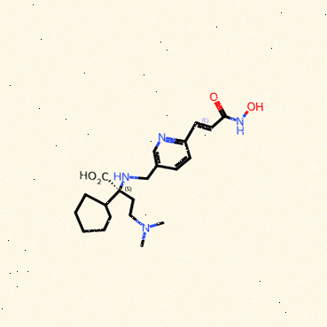 CN(C)CC[C@@](NCc1ccc(/C=C/C(=O)NO)nc1)(C(=O)O)C1CCCCC1